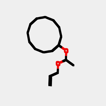 C=CCOC(C)OC1CCCCCCCCCCC1